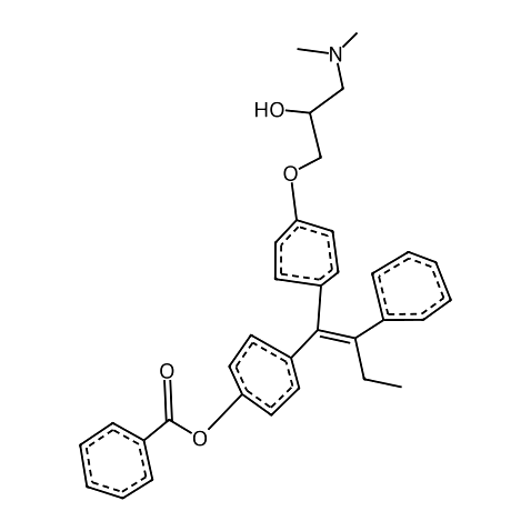 CCC(=C(c1ccc(OCC(O)CN(C)C)cc1)c1ccc(OC(=O)c2ccccc2)cc1)c1ccccc1